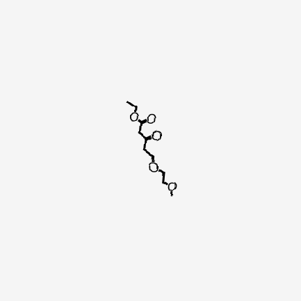 CCOC(=O)CC(=O)CCOCCOC